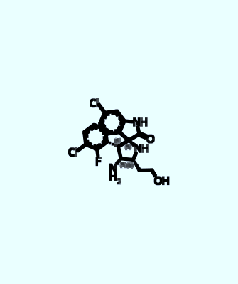 N[C@@H]1[C@H](CCO)N[C@@]2(C(=O)Nc3cc(Cl)ccc32)[C@H]1c1cccc(Cl)c1F